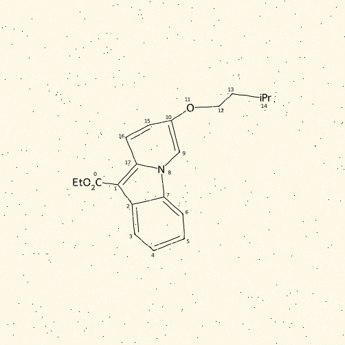 CCOC(=O)c1c2ccccc2n2cc(OCCC(C)C)ccc12